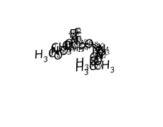 CN(C)C(=O)COC(=O)C[C@@H]1Cc2ccc(OCCc3cn4c(n3)N(C(=O)OC(C)(C)C)CCC4)cc2CN(CC(F)(F)F)C1=O